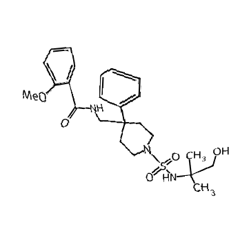 COc1ccccc1C(=O)NCC1(c2ccccc2)CCN(S(=O)(=O)NC(C)(C)CO)CC1